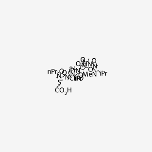 CCCC(=O)N(C)[C@H](CSCCC(=O)O)C(=O)N(C)[C@](C=O)(CC(C)C)N[C@@H](C(=O)N(C)[C@H]1CC(C)N(C(=O)C(C)NC(=O)N(C)C(=O)[C@@H](CC(C)C)NC)C1=O)C(C)C